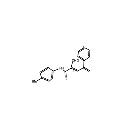 C=C(/C=C(\C=O)C(=O)Nc1ccc(C(C)(C)C)cc1)c1ccncc1